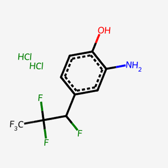 Cl.Cl.Nc1cc(C(F)C(F)(F)C(F)(F)F)ccc1O